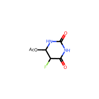 CC(=O)OC1NC(=O)NC(=O)C1F